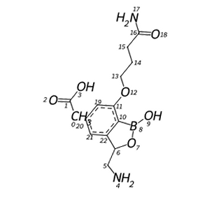 CC(=O)O.NCC1OB(O)c2c(OCCCC(N)=O)cccc21